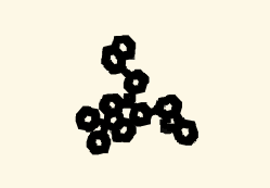 c1ccc(C2(c3ccccc3)c3ccccc3-c3c(N(c4cccc(-c5cccc6ccccc56)c4)c4cccc(-c5cccc6c5sc5ccccc56)c4)cccc32)cc1